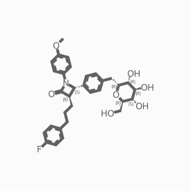 COc1ccc(N2C(=O)[C@H](CCCc3ccc(F)cc3)[C@H]2c2ccc(C[C@H]3O[C@H](CO)[C@@H](O)[C@H](O)[C@H]3O)cc2)cc1